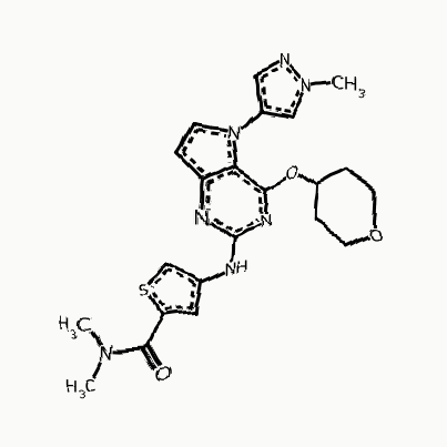 CN(C)C(=O)c1cc(Nc2nc(OC3CCOCC3)c3c(ccn3-c3cnn(C)c3)n2)cs1